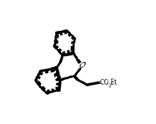 CCOC(=O)CC1Oc2ccccc2-c2ccccc21